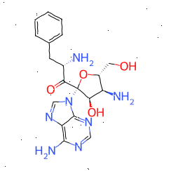 Nc1ncnc2c1ncn2[C@]1(C(=O)[C@@H](N)Cc2ccccc2)O[C@H](CO)[C@@H](N)[C@H]1O